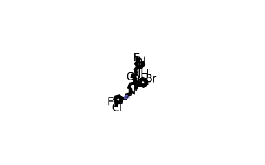 O=C(NCc1ccnc(F)c1)n1c2c(c3ccc(Br)cc31)CN(C/C=C/c1ccc(F)c(Cl)c1)CC2